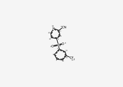 N#Cc1cc(S(=O)(=O)c2cccc(C(F)(F)F)c2)ccn1